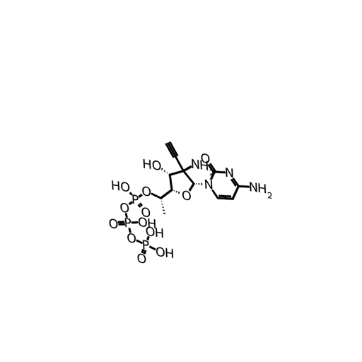 C#CC1(N)[C@@H](O)[C@@H]([C@H](C)OP(=O)(O)OP(=O)(O)OP(=O)(O)O)O[C@H]1n1ccc(N)nc1=O